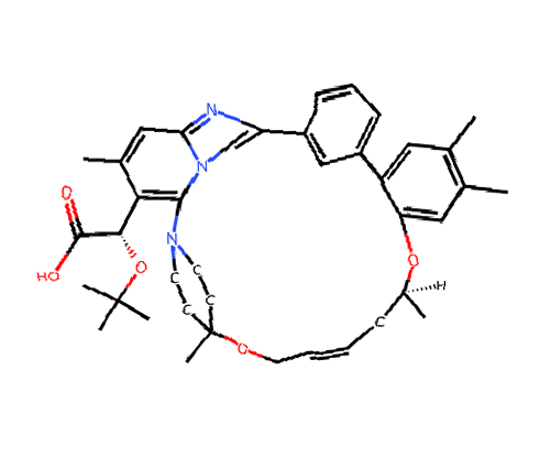 Cc1cc2c(cc1C)-c1cccc(c1)-c1cn3c(c([C@H](OC(C)(C)C)C(=O)O)c(C)cc3n1)N1CCC(C)(CC1)OC/C=C/C[C@H](C)O2